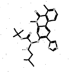 Cc1nccc2c1c(=O)n(C)c1cc(ON(C(=O)OC(C)(C)C)[C@@H](C)CC(C)C)c(-c3cncs3)cc21